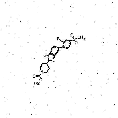 CC(C)(C)OC(=O)N1CCC(c2nc3cc(-c4ccc(S(C)(=O)=O)cc4F)ccc3[nH]2)CC1